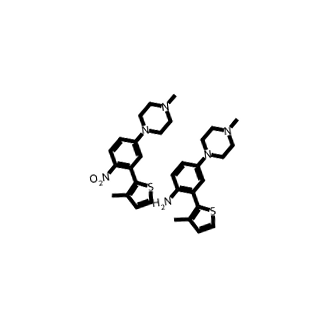 Cc1ccsc1-c1cc(N2CCN(C)CC2)ccc1N.Cc1ccsc1-c1cc(N2CCN(C)CC2)ccc1[N+](=O)[O-]